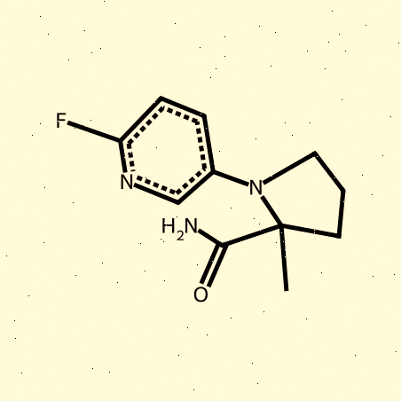 CC1(C(N)=O)CCCN1c1ccc(F)nc1